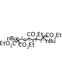 CCCCC(CCCCCCC(CCCC)(C(=O)OCC)C(=O)OCC)(C(=O)OCC)C(=O)OCC